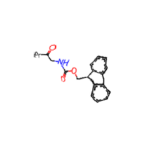 CC(C)C(=O)CNC(=O)OCC1c2ccccc2-c2ccccc21